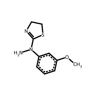 COc1cccc(N(N)C2=NCCS2)c1